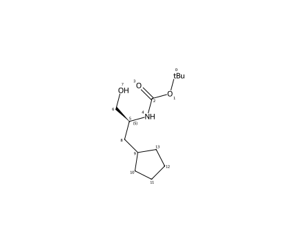 CC(C)(C)OC(=O)N[C@H](CO)CC1CCCC1